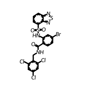 O=C(NCc1c(Cl)cc(Cl)cc1Cl)c1ccc(Br)cc1NS(=O)(=O)c1cccc2nsnc12